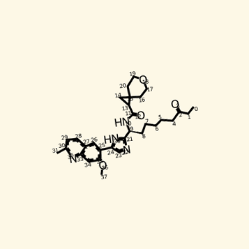 CCC(=O)CCCCC[C@H](NC(=O)C1CC12CCOCC2)c1ncc(-c2cc3ccc(C)nc3cc2OC)[nH]1